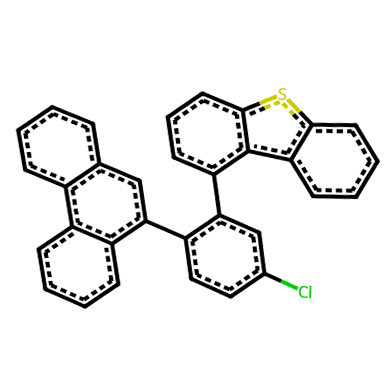 Clc1ccc(-c2cc3ccccc3c3ccccc23)c(-c2cccc3sc4ccccc4c23)c1